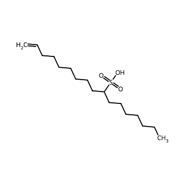 C=CCCCCCCCC(CCCCCCC)S(=O)(=O)O